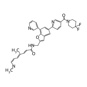 C=N\C=C/C=C(C)/C=C/C(=O)NCc1cc2cc(-c3ccc(C(=O)N4CCC(F)(F)CC4)cn3)cc(-c3cccnc3)c2o1